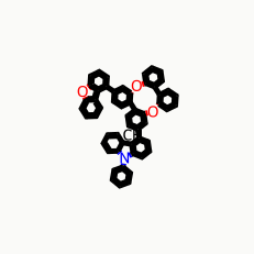 CC12C=CC=CC1N(c1ccccc1)c1cccc(-c3ccc4c(c3)Oc3ccccc3-c3ccccc3Oc3cc(-c5cccc6oc7ccccc7c56)ccc3-4)c12